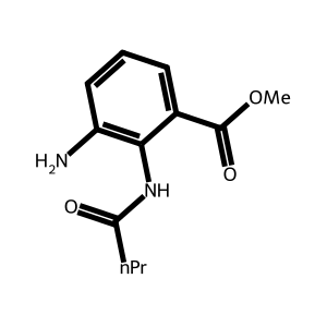 CCCC(=O)Nc1c(N)cccc1C(=O)OC